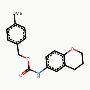 COc1ccc(COC(=O)Nc2ccc3c(c2)CCCO3)cc1